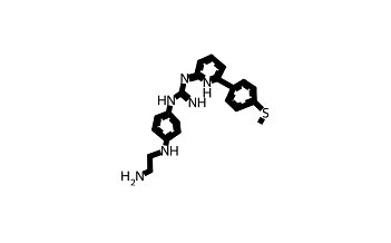 CSc1ccc(-c2ccc/c(=N/C(=N)Nc3ccc(NCCN)cc3)[nH]2)cc1